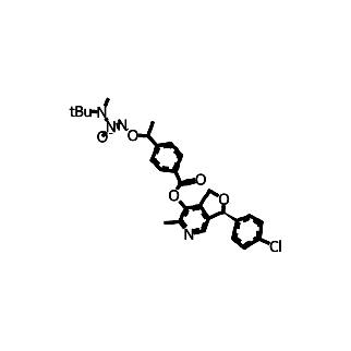 Cc1ncc2c(c1OC(=O)c1ccc(C(C)O/N=[N+](\[O-])N(C)C(C)(C)C)cc1)CO[C@H]2c1ccc(Cl)cc1